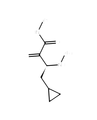 CC(C)NC(=O)C(=O)[C@H](CC1CC1)NC(C)(C)C